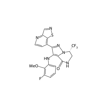 COc1c(F)cccc1Nc1c(-c2ccnc3cnsc23)nn2c1C(=O)NC[C@H]2C(F)(F)F